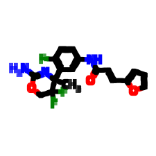 C[C@]1(c2cc(NC(=O)/C=C/c3ccco3)ccc2F)N=C(N)OCC1(F)F